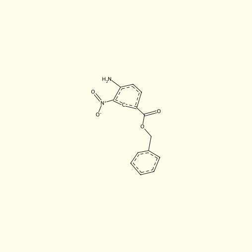 Nc1ccc(C(=O)OCc2ccccc2)cc1[N+](=O)[O-]